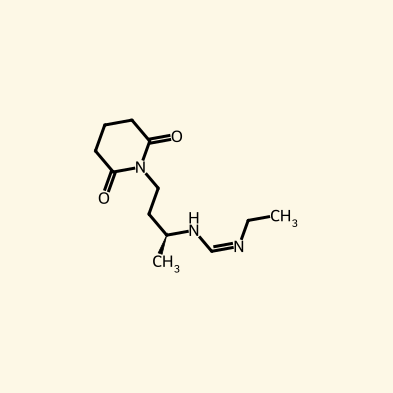 CC/N=C\N[C@@H](C)CCN1C(=O)CCCC1=O